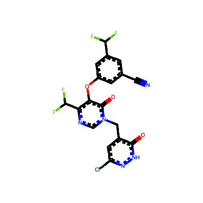 N#Cc1cc(Oc2c(C(F)F)ncn(Cc3cc(Cl)n[nH]c3=O)c2=O)cc(C(F)F)c1